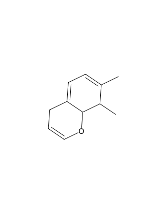 CC1=CC=C2CC=COC2C1C